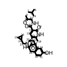 CC(=O)[C@H](CC(C)C)NC(=O)c1cc2c([nH]c1=O)C[C@]13CCN(CC4CC4)[C@H](Cc4ccc(O)cc41)[C@]3(O)C2